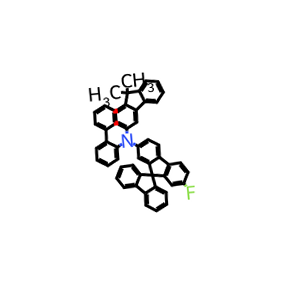 CC1(C)c2ccccc2-c2cc(N(c3ccc4c(c3)C3(c5ccccc5-c5ccccc53)c3cc(F)ccc3-4)c3ccccc3-c3ccccc3)ccc21